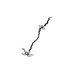 CC(=O)OC[C@H]1O[C@@H](OCCCCCCCCCCCCCCCC(=O)NCCCCCCO)[C@H](OC(C)=O)[C@@H](OC(C)=O)[C@@H]1OC(C)=O